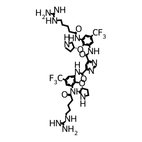 N=C(N)NCCCCC(=O)Nc1cc(C(F)(F)F)cc(NC(=O)c2cc(C(=O)Nc3cc(C(F)(F)F)cc(NC(=O)CCCCNC(=N)N)c3O[C@@H]3CCNC3)ncn2)c1O[C@@H]1CCNC1